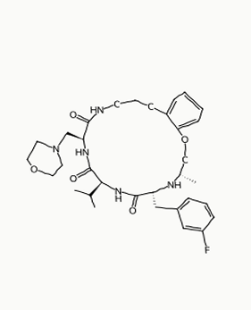 CC(C)[C@@H]1NC(=O)[C@@H](Cc2cccc(F)c2)N[C@@H](C)COc2ccccc2CCCNC(=O)[C@H](CN2CCOCC2)NC1=O